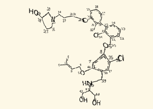 CC(C)=CCOc1cc(OCc2cccc(-c3cccc(OCCCN4CCC(O)C4)c3C)c2Cl)c(Cl)cc1CNC(CO)CO